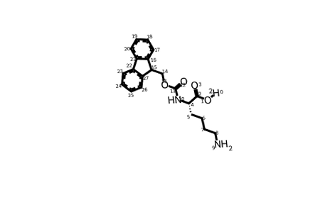 [2H]OC(=O)[C@H](CCCCN)NC(=O)OCC1c2ccccc2-c2ccccc21